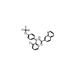 O=C(N[C@@H](c1ccc(OC(F)(F)F)cc1)c1ncccc1F)c1ccc2cccnc2c1